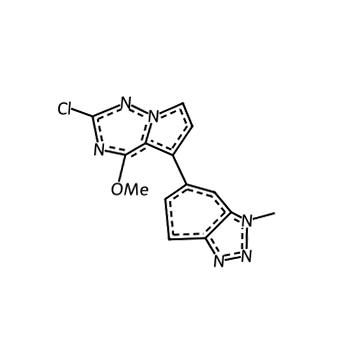 COc1nc(Cl)nn2ccc(-c3ccc4nnn(C)c4c3)c12